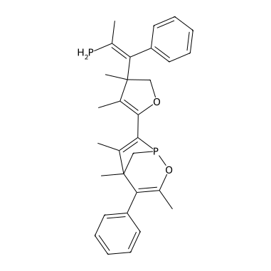 CC1=C(c2ccccc2)C2(C)CP(O1)C(C1=C(C)C(C)(/C(=C(/C)P)c3ccccc3)CO1)=C2C